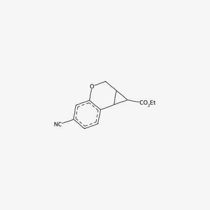 CCOC(=O)C1C2COc3cc(C#N)ccc3C21